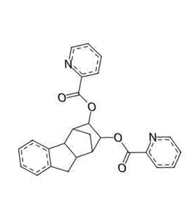 O=C(OC1C2CC(C1OC(=O)c1ccccn1)C1c3ccccc3CC21)c1ccccn1